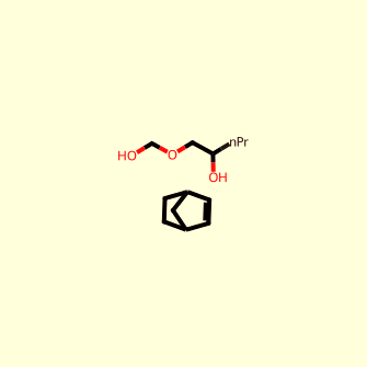 C1=CC2CCC1C2.CCCC(O)COCO